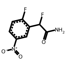 NC(=O)C(F)c1cc([N+](=O)[O-])ccc1F